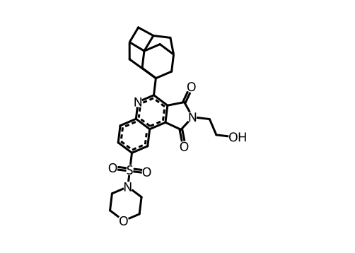 O=C1c2c(C34CC5CC6CC(C3)C6(C5)C4)nc3ccc(S(=O)(=O)N4CCOCC4)cc3c2C(=O)N1CCO